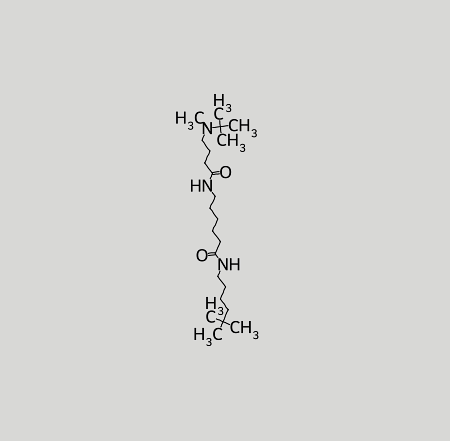 CN(CCCC(=O)NCCCCCC(=O)NCCCCC(C)(C)C)C(C)(C)C